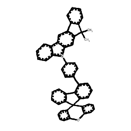 CC1(C)c2ccccc2-c2cc3c4ccccc4n(-c4ccc(-c5cccc6c5-c5ccccc5C65c6ccccc6Oc6ccccc65)cc4)c3cc21